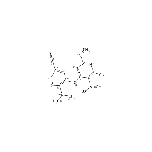 CSc1nc(Cl)c([N+](=O)[O-])c(Oc2cc(C#N)ccc2N(C)C)n1